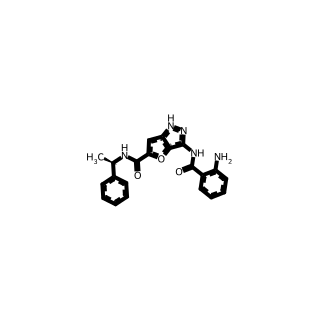 C[C@@H](NC(=O)c1cc2[nH]nc(NC(=O)c3ccccc3N)c2o1)c1ccccc1